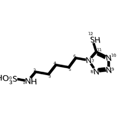 O=S(=O)(O)NCCCCCn1nnnc1S